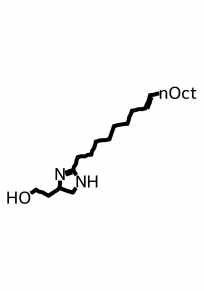 CCCCCCCCC=CCCCCCCCC1=NC(CCO)CN1